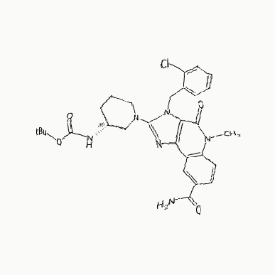 Cn1c(=O)c2c(nc(N3CCC[C@@H](NC(=O)OC(C)(C)C)C3)n2Cc2ccccc2Cl)c2cc(C(N)=O)ccc21